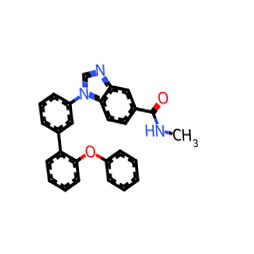 CNC(=O)c1ccc2c(c1)ncn2-c1cccc(-c2ccccc2Oc2ccccc2)c1